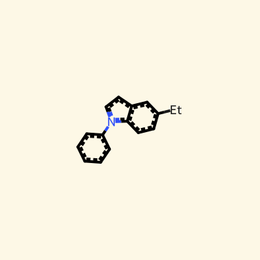 CCc1ccc2c(ccn2-c2ccccc2)c1